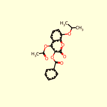 CC(=O)Oc1c(OC(=O)c2ccccc2)c(=O)oc2c(OC(C)C)cccc12